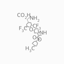 Cc1ccc(S(=O)(=O)c2c[nH]c3ccc(Oc4c(C(F)(F)F)cc(C[C@@H](N)C(=O)O)cc4C(F)(F)F)cc23)cc1